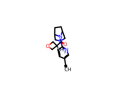 C#Cc1ccc(N2CC3CCC(C2)N3C(=O)C2(C)COC2)nc1